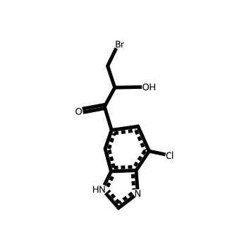 O=C(c1cc(Cl)c2nc[nH]c2c1)C(O)CBr